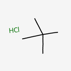 CC(C)(C)C.Cl